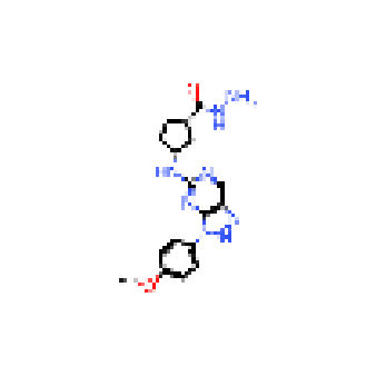 CCOc1ccc(-n2nnc3cnc(N[C@@H]4CC[C@@H](C(=O)NN)C4)nc32)cc1